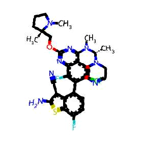 C[C@H](N1C=CN=CC1)N(C)c1nc(OC[C@]2(C)CCCN2C)nc2c(F)c(-c3ccc(F)c4sc(N)c(C#N)c34)c(Cl)cc12